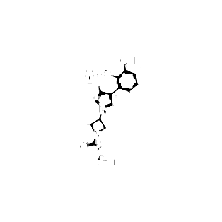 COc1c(C)cccc1-c1cn(C2CN(C(=O)OC(C)(C)C)C2)nc1C(C)=O